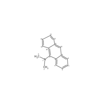 CN(C)c1c2cc[c]cc2cc2ccccc12